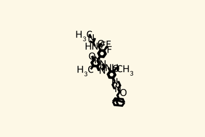 COc1cc(N2CCN(C(=O)CC34CC5CC(CC(C5)C3)C4)CC2)ccc1Nc1ncc2c(C)cc(=O)n(-c3ccc(C(F)(F)F)c(C(=O)NC4CN(C)C4)c3)c2n1